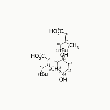 CC(CC(=O)O)CC(C)(C)C.CC(CC(=O)O)CC(C)(C)C.OC1CCC(O)CC1